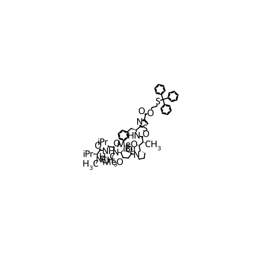 CC[C@H](C)[C@@H]([C@@H](CC(=O)N1CCC[C@H]1[C@H](OC)[C@@H](C)C(=O)N[C@@H](Cc1ccccc1)c1nc(C(=O)OCCSC(c2ccccc2)(c2ccccc2)c2ccccc2)cs1)OC)N(C)C(=O)[C@@H](NC(=O)[C@H](C(C)C)N(C)C)C(C)C